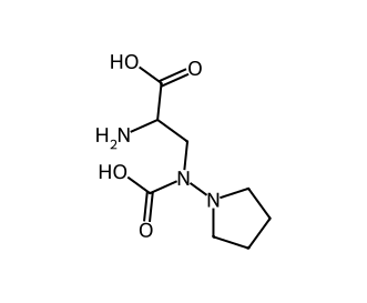 NC(CN(C(=O)O)N1CCCC1)C(=O)O